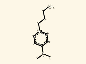 CN(C)c1cc[n+](CCCN)cc1